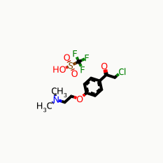 CN(C)CCOc1ccc(C(=O)CCl)cc1.O=S(=O)(O)C(F)(F)F